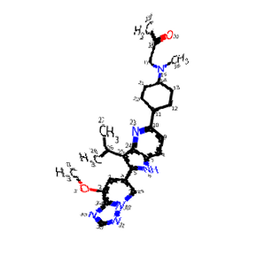 COc1cc(-c2[nH]c3ccc(C4CCC(N(C)CC(C)=O)CC4)nc3c2C(C)C)cn2ncnc12